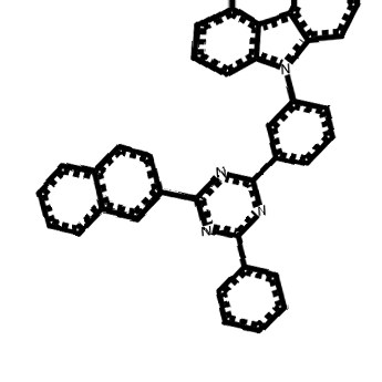 c1ccc(-c2nc(-c3cccc(-n4c5ccccc5c5ccccc54)c3)nc(-c3ccc4ccccc4c3)n2)cc1